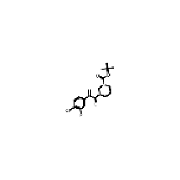 CC(C)(C)OC(=O)N1CCCC(C(=O)Nc2ccc(Cl)c(F)c2)C1